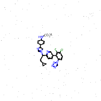 O=C(O)Nc1ccc(-c2cn(C(CC3CC3)c3ccc(-c4c(-n5cnnn5)ccc(Cl)c4F)cn3)cn2)cc1